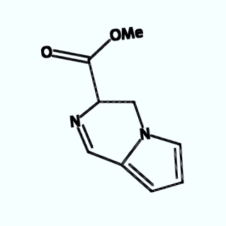 COC(=O)C1Cn2cccc2C=N1